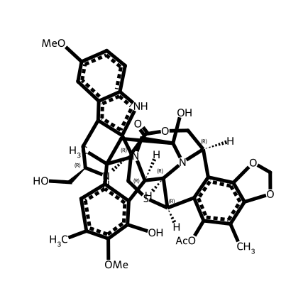 COc1ccc2[nH]c3c(c2c1)C[C@H](CO)N[C@]31CS[C@@H]2c3c(OC(C)=O)c(C)c4c(c3[C@H](COC1=O)N1[C@@H]2[C@H]2c3c(cc(C)c(OC)c3O)C3(C)CC1(O)CN23)OCO4